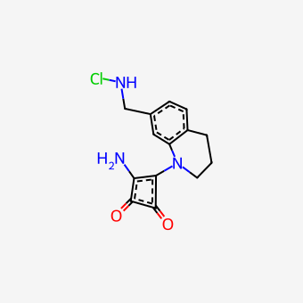 Nc1c(N2CCCc3ccc(CNCl)cc32)c(=O)c1=O